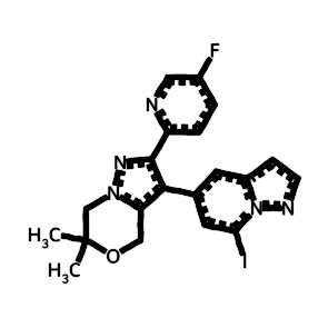 CC1(C)Cn2nc(-c3ccc(F)cn3)c(-c3cc(I)n4nccc4c3)c2CO1